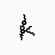 CCCCc1ccc(C(=O)Oc2c(C)cc(C(C)(C)CCC)cc2C(CCCC=O)COCC)cc1